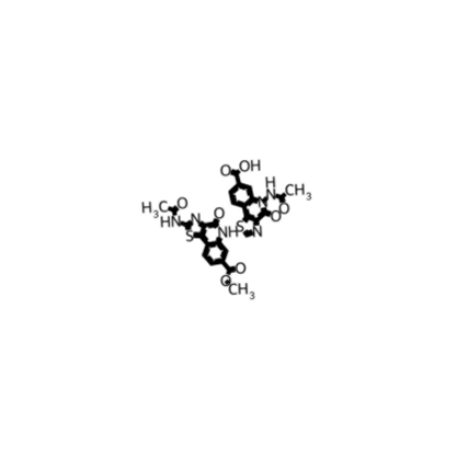 CC(=O)Nn1c(=O)c2ncsc2c2ccc(C(=O)O)cc21.COC(=O)c1ccc2c(c1)[nH]c(=O)c1nc(NC(C)=O)sc12